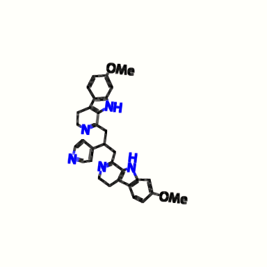 COc1ccc2c3c([nH]c2c1)C(CC(CC1=NCCc2c1[nH]c1cc(OC)ccc21)c1ccncc1)=NCC3